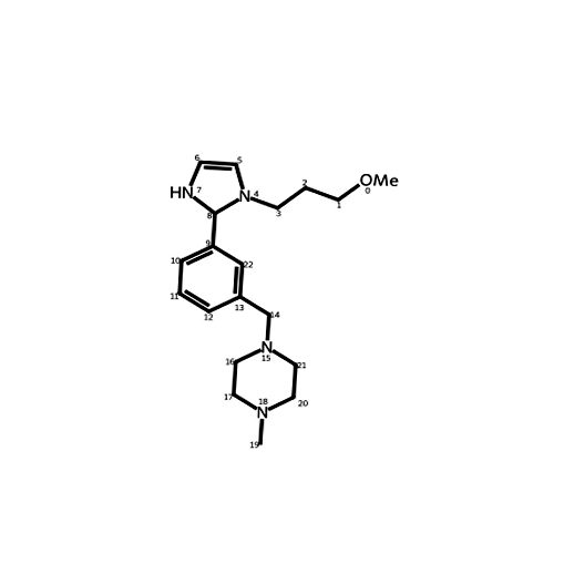 COCCCN1C=CNC1c1cccc(CN2CCN(C)CC2)c1